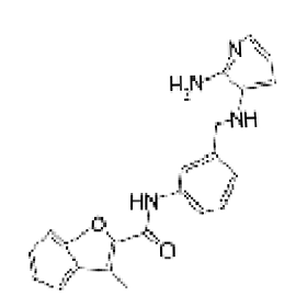 Cc1c(C(=O)Nc2cccc(CNc3cccnc3N)c2)oc2ccccc12